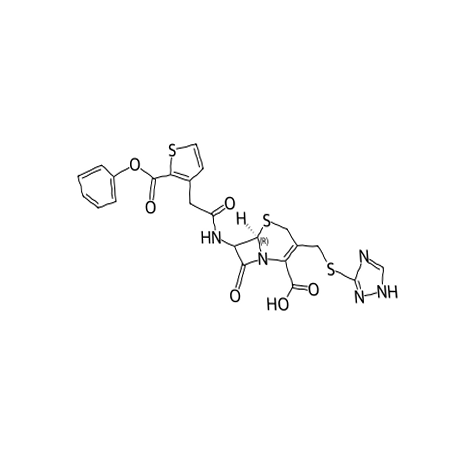 O=C(Cc1ccsc1C(=O)Oc1ccccc1)NC1C(=O)N2C(C(=O)O)=C(CSc3nc[nH]n3)CS[C@H]12